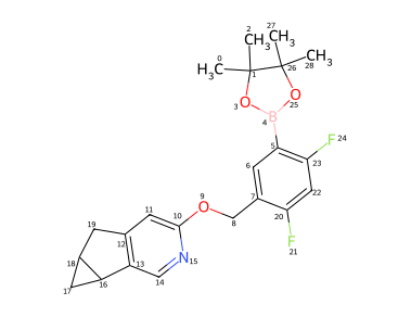 CC1(C)OB(c2cc(COc3cc4c(cn3)C3CC3C4)c(F)cc2F)OC1(C)C